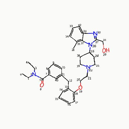 CCN(CC)C(=O)c1cccc(Cc2ccccc2OCCN2CCC(n3c(CO)nc4cccc(C)c43)CC2)c1